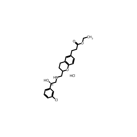 CCOC(=O)CCc1ccc2c(c1)CCC(CNC[C@H](O)c1cccc(Cl)c1)O2.Cl